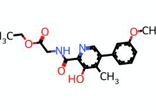 CCOC(=O)CNC(=O)c1ncc(-c2cccc(OC)c2)c(C)c1O